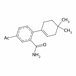 CC(=O)c1ccc(C2=CCC(C)(C)CC2)c(C(N)=O)c1